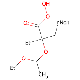 CCCCCCCCCCC(CC)(OC(C)OCC)C(=O)OO